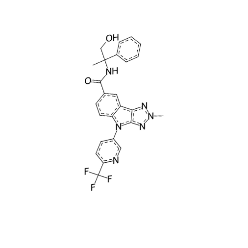 Cn1nc2c3cc(C(=O)NC(C)(CO)c4ccccc4)ccc3n(-c3ccc(C(F)(F)F)nc3)c2n1